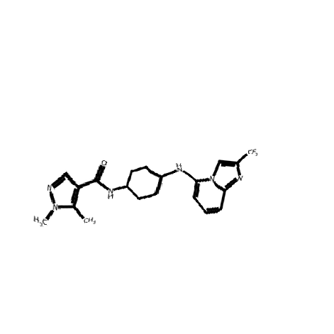 Cc1c(C(=O)NC2CCC(Nc3cccc4nc(C(F)(F)F)cn34)CC2)cnn1C